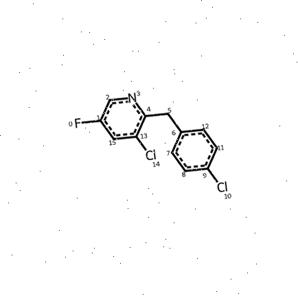 Fc1cnc(Cc2ccc(Cl)cc2)c(Cl)c1